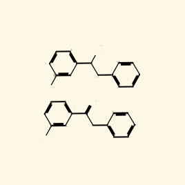 O=C(Cc1ccccc1)c1cccc(Br)c1.OC(Cc1ccccc1)c1cccc(Br)c1